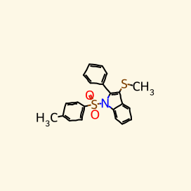 CSc1c(-c2ccccc2)n(S(=O)(=O)c2ccc(C)cc2)c2ccccc12